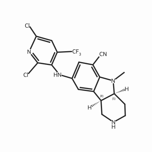 CN1c2c(C#N)cc(Nc3c(C(F)(F)F)cc(Cl)nc3Cl)cc2[C@@H]2CNCC[C@@H]21